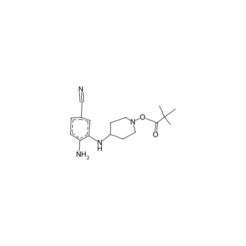 CC(C)(C)C(=O)ON1CCC(Nc2cc(C#N)ccc2N)CC1